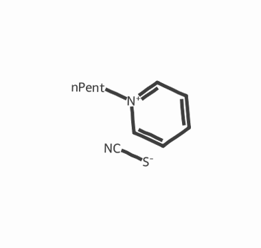 CCCCC[n+]1ccccc1.N#C[S-]